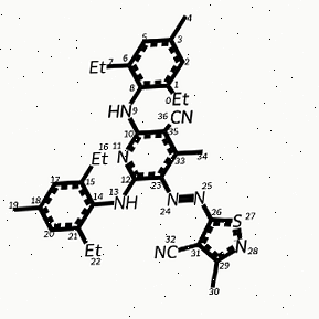 CCc1cc(C)cc(CC)c1Nc1nc(Nc2c(CC)cc(C)cc2CC)c(N=Nc2snc(C)c2C#N)c(C)c1C#N